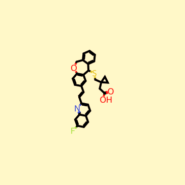 O=C(O)CC1(CSC2c3ccccc3COc3ccc(C=Cc4ccc5ccc(F)cc5n4)cc32)CC1